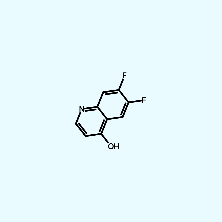 Oc1ccnc2cc(F)c(F)cc12